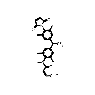 Cc1cc(C(c2cc(C)c(N3C(=O)C=CC3=O)c(C)c2)C(F)(F)F)cc(C)c1N(C)C(=O)/C=C\C=O